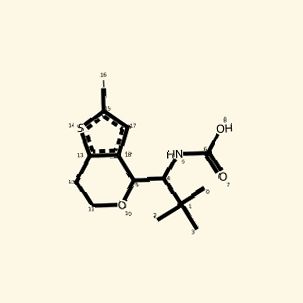 CC(C)(C)C(NC(=O)O)C1OCCc2sc(I)cc21